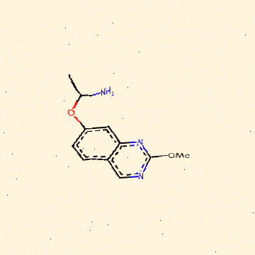 COc1ncc2ccc(OC(C)N)cc2n1